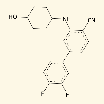 N#Cc1ccc(-c2ccc(F)c(F)c2)cc1NC1CCC(O)CC1